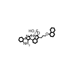 Cc1nn(-c2ccccc2N)c(C)c1-c1cccc2c(CCCOc3cccc4ccccc34)c(OC(=O)O)[nH]c12